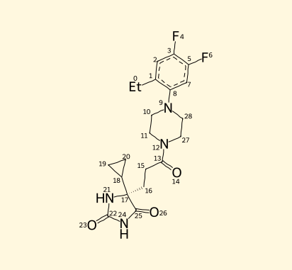 CCc1cc(F)c(F)cc1N1CCN(C(=O)CC[C@@]2(C3CC3)NC(=O)NC2=O)CC1